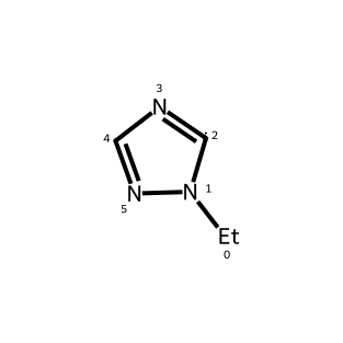 CCn1[c]ncn1